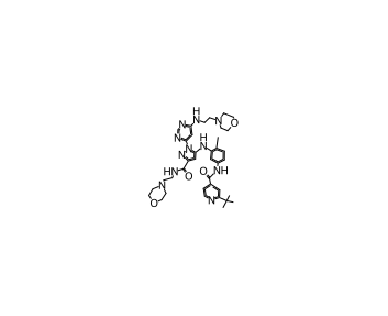 Cc1ccc(NC(=O)c2ccnc(C(C)(C)C)c2)cc1Nc1cc(C(=O)NCCN2CCOCC2)nn1-c1cc(NCCN2CCOCC2)ncn1